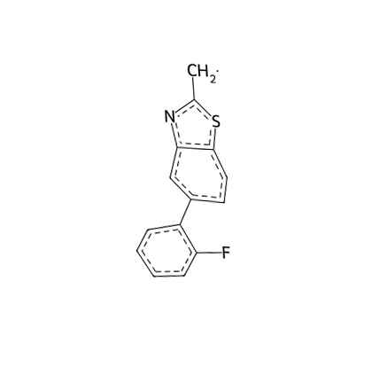 [CH2]c1nc2cc(-c3ccccc3F)ccc2s1